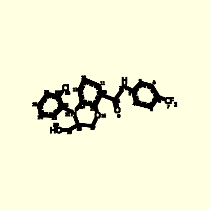 O=C(Nc1ccc(C(F)(F)F)cc1)c1cccc2c1OCC(CO)N2c1ccccc1Cl